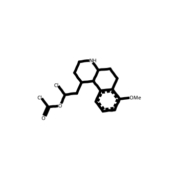 COc1cccc2c1CCC1NCCC(CC(Cl)OC(=O)Cl)C21